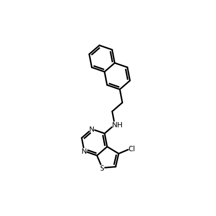 Clc1csc2ncnc(NCCc3ccc4ccccc4c3)c12